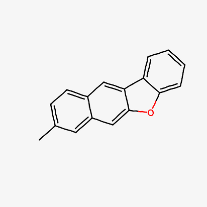 Cc1ccc2cc3c(cc2c1)oc1ccccc13